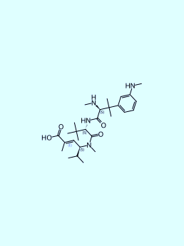 CNc1cccc(C(C)(C)[C@H](NC)C(=O)N[C@H](C(=O)N(C)[C@H](/C=C(\C)C(=O)O)C(C)C)C(C)(C)C)c1